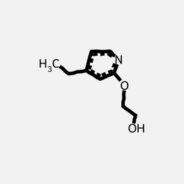 CCc1ccnc(OCCO)c1